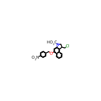 O=C(O)N1CC(CCl)c2c1cc(OCc1ccc([N+](=O)[O-])cc1)c1ccccc21